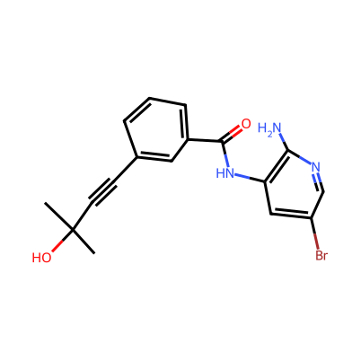 CC(C)(O)C#Cc1cccc(C(=O)Nc2cc(Br)cnc2N)c1